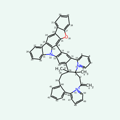 C=C1CC2(C)[n+]3ccccc3-c3cc4c5c6oc7ccccc7c6cc6c7ccccc7n(c4cc3C2(C)CCc2ccccc2-c2cccc[n+]21)c65